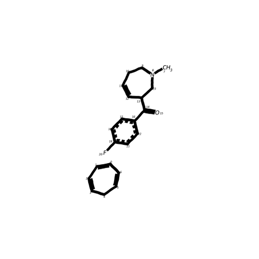 C1=CC=CCC=C1.CN1CCC=CC(C(=O)c2ccc(F)cc2)C1